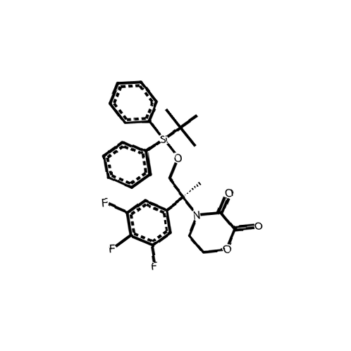 CC(C)(C)[Si](OC[C@](C)(c1cc(F)c(F)c(F)c1)N1CCOC(=O)C1=O)(c1ccccc1)c1ccccc1